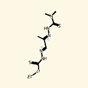 CCOC(=S)N/N=C/C(C)=N/NC(=S)N(C)C